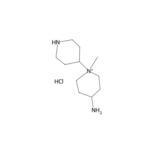 C[N+]1(C2CCNCC2)CCC(N)CC1.Cl